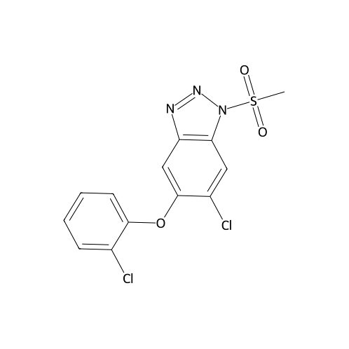 CS(=O)(=O)n1nnc2cc(Oc3ccccc3Cl)c(Cl)cc21